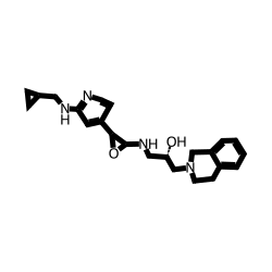 O[C@@H](CNC1OC1c1ccnc(NCC2CC2)c1)CN1CCc2ccccc2C1